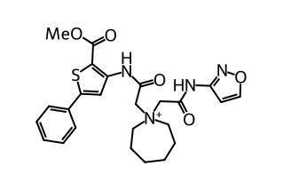 COC(=O)c1sc(-c2ccccc2)cc1NC(=O)C[N+]1(CC(=O)Nc2ccon2)CCCCCC1